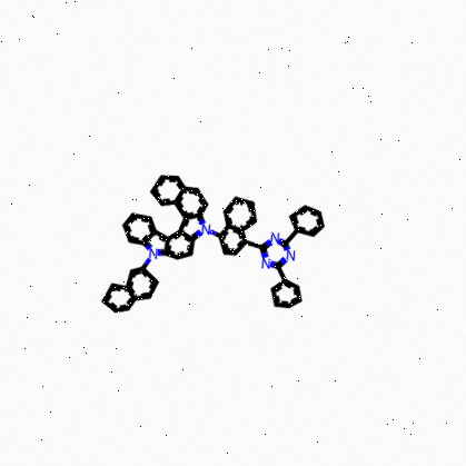 c1ccc(-c2nc(-c3ccccc3)nc(-c3ccc(-n4c5ccc6ccccc6c5c5c6c7ccccc7n(-c7ccc8ccccc8c7)c6ccc54)c4ccccc34)n2)cc1